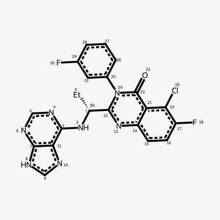 CC[C@@H](Nc1ncnc2[nH]cnc12)c1nc2ccc(F)c(Cl)c2c(=O)n1-c1cccc(F)c1